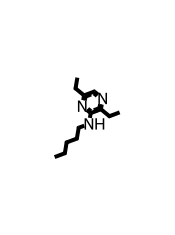 CCCCCNc1nc(CC)cnc1CC